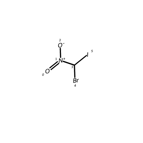 O=[N+]([O-])C(Br)I